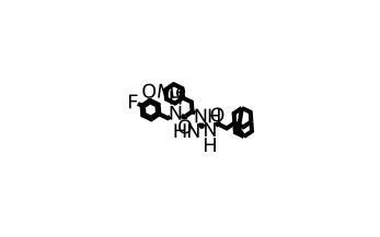 COc1cc(CNC(=O)C(CC2CCCCC2)NC(=N)NC(=O)CC23CC4CC(CC(C4)C2)C3)ccc1F